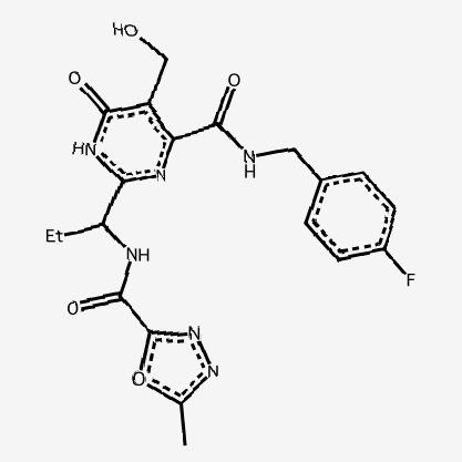 CCC(NC(=O)c1nnc(C)o1)c1nc(C(=O)NCc2ccc(F)cc2)c(CO)c(=O)[nH]1